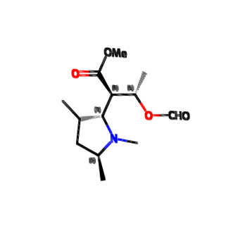 COC(=O)[C@@H]([C@H](C)OC=O)[C@H]1C(C)C[C@H](C)N1C